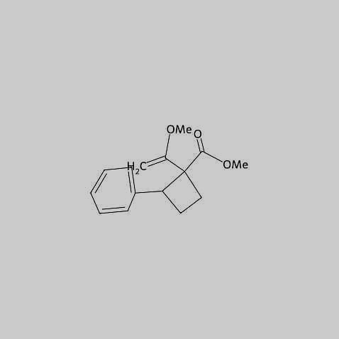 C=C(OC)C1(C(=O)OC)CCC1c1ccccc1